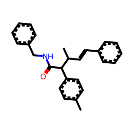 Cc1ccc(C(C(=O)NCc2ccccc2)C(C)/C=C/c2ccccc2)cc1